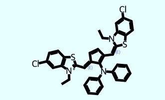 CCN1/C(=C\C2=C(N(c3ccccc3)c3ccccc3)C(=C/c3sc4ccc(Cl)cc4[n+]3CC)/C=C2)Sc2ccc(Cl)cc21